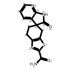 NC(=O)c1nc2c(s1)CC1(CC2)C(=O)Nc2ncccc21